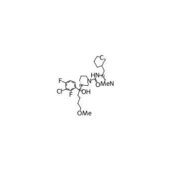 CNC[C@H](CC1CCCCC1)NC(=O)N1CCC[C@@H]([C@@](O)(CCCCOC)c2ccc(F)c(Cl)c2F)C1